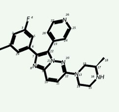 Cc1cc(F)cc(-c2nc3ccc(N4CCN[C@H](C)C4)nn3c2-c2ccncc2)c1